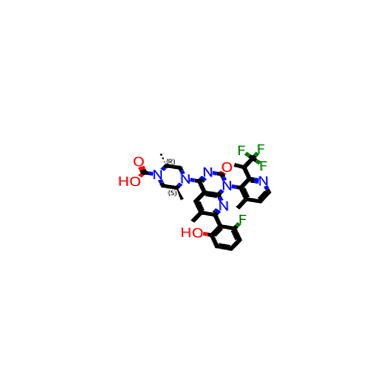 Cc1cc2c(N3C[C@@H](C)N(C(=O)O)C[C@@H]3C)nc(=O)n(-c3c(C)ccnc3C(C)C(F)(F)F)c2nc1-c1c(O)cccc1F